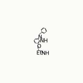 CCC(C=N)COc1cccc2c1N[CH]N2Cc1ccccc1